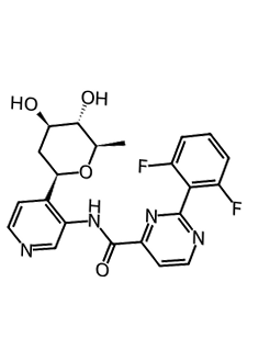 C[C@H]1O[C@@H](c2ccncc2NC(=O)c2ccnc(-c3c(F)cccc3F)n2)C[C@@H](O)[C@@H]1O